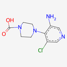 Nc1cncc(Cl)c1N1CCN(C(=O)O)CC1